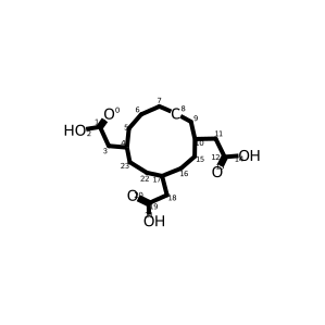 O=C(O)CC1CCCCCC(CC(=O)O)CCC(CC(=O)O)CC1